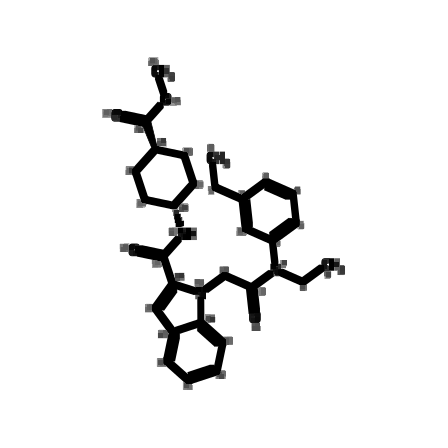 CCc1cccc(N(CC)C(=O)Cn2c(C(=O)N[C@H]3CC[C@H](C(=O)OC)CC3)cc3ccccc32)c1